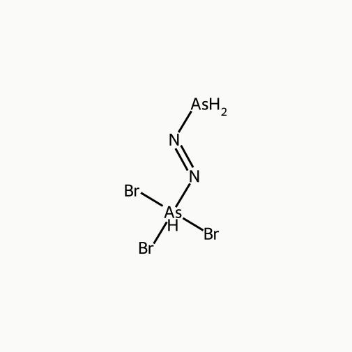 [AsH2]N=N[AsH](Br)(Br)Br